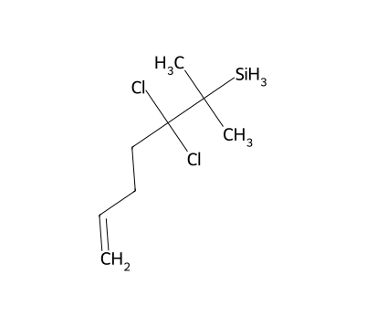 C=CCCC(Cl)(Cl)C(C)(C)[SiH3]